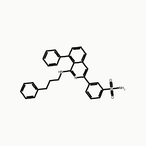 NS(=O)(=O)c1cccc(-c2cc3cccc(-c4ccccc4)c3c(NCCCc3ccccc3)n2)c1